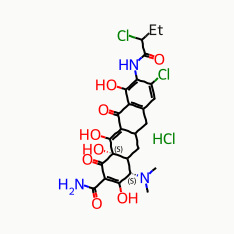 CCC(Cl)C(=O)Nc1c(Cl)cc2c(c1O)C(=O)C1=C(O)[C@]3(O)C(=O)C(C(N)=O)=C(O)[C@@H](N(C)C)C3CC1C2.Cl